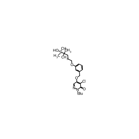 CC(C)(C)n1ncc(OCc2cccc(OCCCC(C)(C)[Si](C)(C)O)c2)c(Cl)c1=O